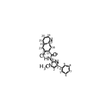 Cn1cc(-c2ccccc2)nc1NC(=O)c1cc2ncccc2cc1Cl